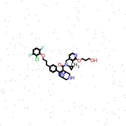 Cc1c(CN(C(=O)C2=C(c3ccc(CCCOc4c(F)ccc(F)c4Cl)cc3)CC3CNCC2N3)C2CC2)ccnc1OCCCO